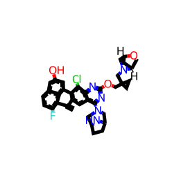 C#Cc1c(F)ccc2cc(O)cc(-c3c(C)cc4c(N5CC6CCC(C5)N6)nc(OCC5(CN6C[C@@H]7C[C@H]6CO7)CC5)nc4c3Cl)c12